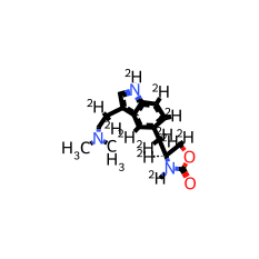 [2H]c1c(C([2H])([2H])[C@]2([2H])N([2H])C(=O)OC2([2H])[2H])c([2H])c2c(C([2H])([2H])CN(C)C)cn([2H])c2c1[2H]